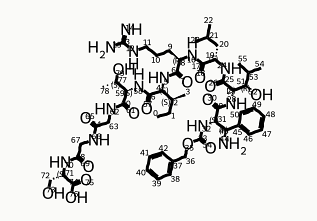 CC[C@H](C)[C@H](NC(=O)[C@@H](CCCNC(=N)N)NC(=O)[C@H](CC(C)C)NC(=O)[C@@H](NC(=O)[C@@H](NC(=O)OCc1ccccc1)[C@H](N)c1ccccc1)[C@H](O)C(C)C)C(=O)N[C@H](C(=O)NCC(=O)NCC(=O)N[C@@H](CO)C(=O)O)[C@H](C)O